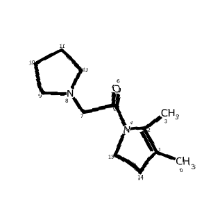 CC1=C(C)N(C(=O)CN2CCCC2)CC1